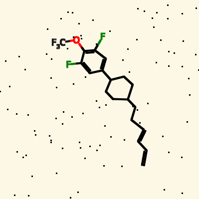 C=C/C=C/CCC1CCC(c2cc(F)c(OC(F)(F)F)c(F)c2)CC1